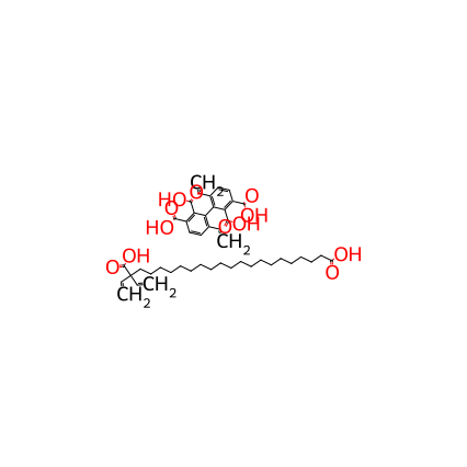 C=CC(C=C)(CCCCCCCCCCCCCCCCCCCC(=O)O)C(=O)O.C=Cc1ccc(C(=O)O)c(C(=O)O)c1-c1c(C=C)ccc(C(=O)O)c1C(=O)O